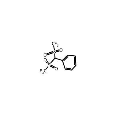 O=S(=O)([C](c1ccccc1)S(=O)(=O)C(F)(F)F)C(F)(F)F